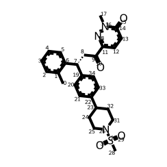 Cc1ccccc1[C@H](CC(=O)c1ccc(=O)n(C)n1)c1ccc(C2CCN(S(C)(=O)=O)CC2)cc1